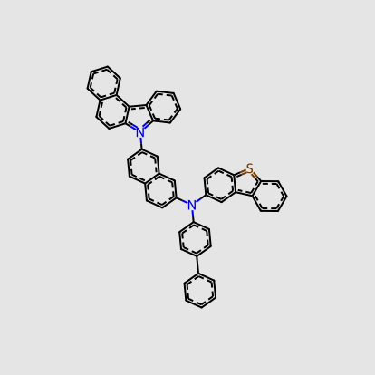 c1ccc(-c2ccc(N(c3ccc4ccc(-n5c6ccccc6c6c7ccccc7ccc65)cc4c3)c3ccc4sc5ccccc5c4c3)cc2)cc1